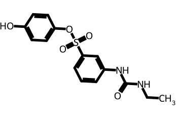 CCNC(=O)Nc1cccc(S(=O)(=O)Oc2ccc(O)cc2)c1